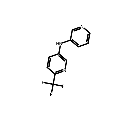 FC(F)(F)c1ccc(Nc2cccnc2)cn1